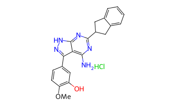 COc1ccc(-c2n[nH]c3nc(C4Cc5ccccc5C4)nc(N)c23)cc1O.Cl